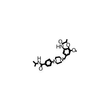 COc1cc(CN2CCN(c3ccc(C(=O)NC(C)C)cc3)CC2)cc2c1OC(C)C(=O)N2